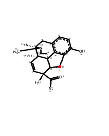 CCC(=O)[C@]1(O)C=C[C@H]2[C@H]3Cc4ccc(O)c5c4[C@@]2(CCN3C)[C@H]1O5